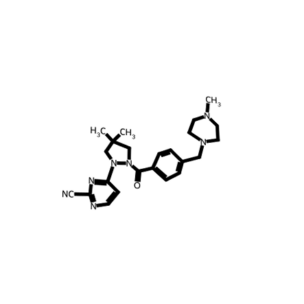 CN1CCN(Cc2ccc(C(=O)N3CC(C)(C)CN3c3ccnc(C#N)n3)cc2)CC1